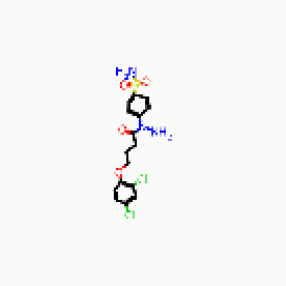 NN(C(=O)CCCOc1ccc(Cl)cc1Cl)c1ccc(S(N)(=O)=O)cc1